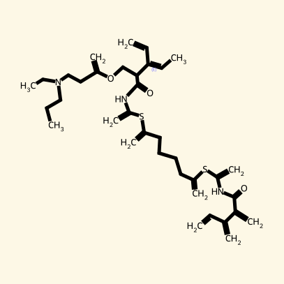 C=CC(=C)C(=C)C(=O)NC(=C)SC(=C)CCCCC(=C)SC(=C)NC(=O)C(COC(=C)CCN(CC)CCC)/C(C=C)=C/C